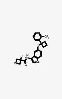 CC1(C(=O)Nc2c[nH]c3ccc(OC4(c5ccccc5C(F)(F)F)CCC4)cc23)CNC1